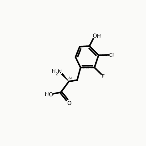 N[C@@H](Cc1ccc(O)c(Cl)c1F)C(=O)O